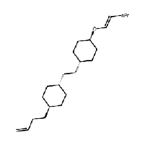 C=CCC[C@H]1CC[C@H](CC[C@H]2CC[C@H](O/C=C/CCC)CC2)CC1